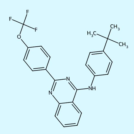 CC(C)(C)c1ccc(Nc2nc(-c3ccc(OC(F)(F)F)cc3)nc3ccccc23)cc1